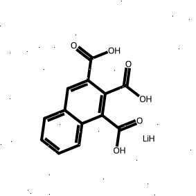 O=C(O)c1cc2ccccc2c(C(=O)O)c1C(=O)O.[LiH]